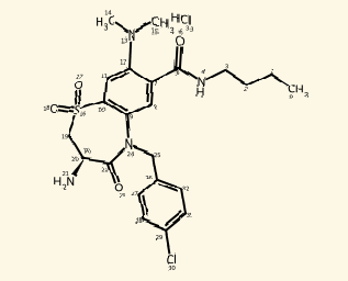 CCCCNC(=O)c1cc2c(cc1N(C)C)S(=O)(=O)C[C@H](N)C(=O)N2Cc1ccc(Cl)cc1.Cl